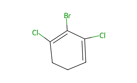 ClC1=CCCC(Cl)=C1Br